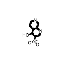 O=[N+]([O-])c1cnc2cnccc2c1O